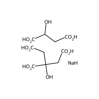 O=C(O)CC(O)(CC(=O)O)C(=O)O.O=C(O)CC(O)C(=O)O.[NaH]